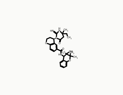 CCC1(C)CC(=O)N([C@@H]2CCOc3ccc(C(=O)NC4c5ccccc5OC(C)(C)C4(C)O)cc32)C(=N)N1